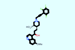 COc1ccc2nccc(C(O)CC[C@@H]3CCN(CC#Cc4c(F)ccc(F)c4F)C[C@@H]3C(=O)O)c2c1